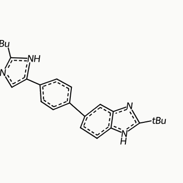 CC(C)(C)c1ncc(-c2ccc(-c3ccc4[nH]c(C(C)(C)C)nc4c3)cc2)[nH]1